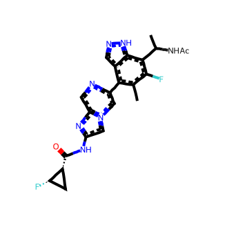 CC(=O)NC(C)c1c(F)c(C)c(-c2cn3cc(NC(=O)[C@@H]4C[C@@H]4F)nc3cn2)c2cn[nH]c12